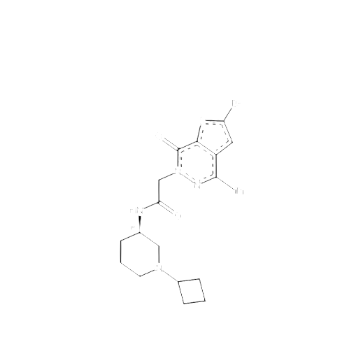 CC(C)c1nn(CC(=O)N[C@@H]2CCCN(C3CCC3)C2)c(=O)c2sc(Br)cc12